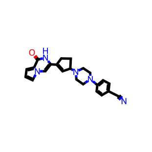 N#Cc1ccc(N2CCN(C3C=C(c4cn5cccc5c(=O)[nH]4)CC3)CC2)cc1